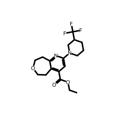 CCOC(=O)c1cc(N2CCCC(C(F)(F)F)C2)nc2c1CCOCC2